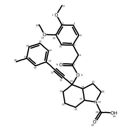 COc1ccc(CC(=O)OC2(C#Cc3cccc(C)c3)CCCC3C2CCN3C(=O)O)cc1OC